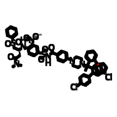 CN(C)C(=O)C[C@H](CS(=O)(=O)c1ccccc1)Nc1ccc(S(=O)(=O)NC(=O)c2ccc(N3CCN(C(C)(c4ccccc4-c4ccc(Cl)cc4)c4ccccc4-c4ccc(Cl)cc4)CC3)cc2)cc1[N+](=O)[O-]